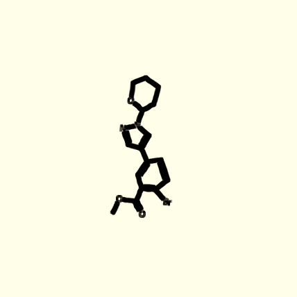 COC(=O)c1cc(-c2cnn(C3CCCCO3)c2)ccc1Br